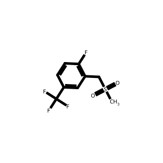 CS(=O)(=O)Cc1cc(C(F)(F)F)ccc1F